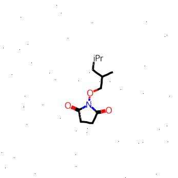 CC(C)CC(C)CON1C(=O)CCC1=O